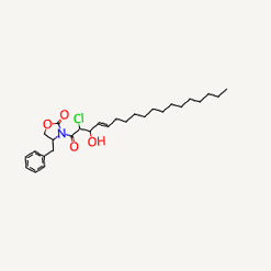 CCCCCCCCCCCCCC=CC(O)C(Cl)C(=O)N1C(=O)OCC1Cc1ccccc1